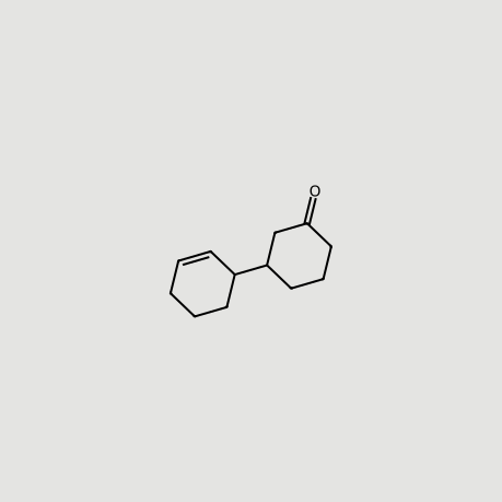 O=C1CCCC(C2C=CCCC2)C1